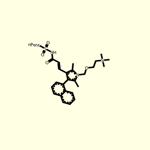 CCCCCS(=O)(=O)NC(=O)/C=C/c1c(-c2cccc3ccccc23)c(C)n(COCC[Si](C)(C)C)c1C